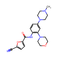 CN1CCN(c2ccc(NC(=O)c3ccc(C#N)o3)c(N3CCOCC3)c2)CC1